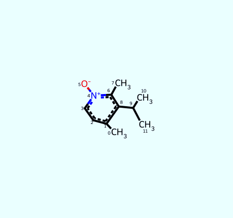 Cc1cc[n+]([O-])c(C)c1C(C)C